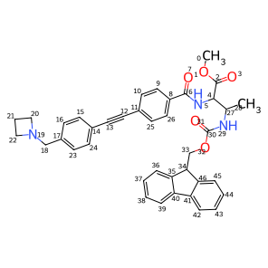 COC(=O)C(NC(=O)c1ccc(C#Cc2ccc(CN3CCC3)cc2)cc1)C(C)NC(=O)OCC1c2ccccc2-c2ccccc21